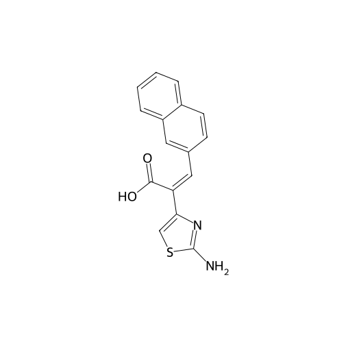 Nc1nc(C(=Cc2ccc3ccccc3c2)C(=O)O)cs1